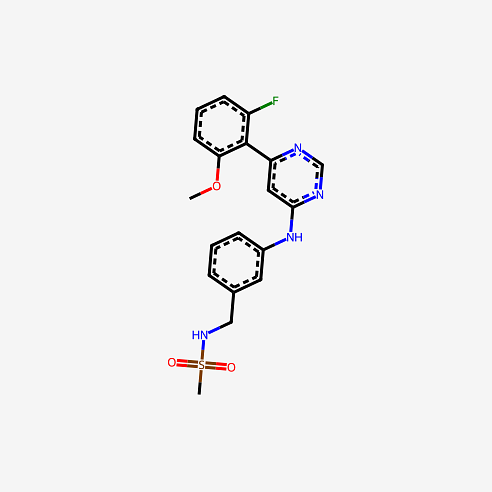 COc1cccc(F)c1-c1cc(Nc2cccc(CNS(C)(=O)=O)c2)ncn1